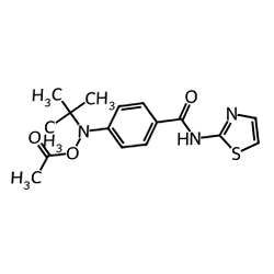 CC(=O)ON(c1ccc(C(=O)Nc2nccs2)cc1)C(C)(C)C